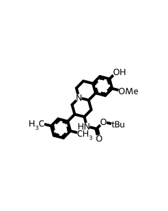 COc1cc2c(cc1O)CCN1CC(c3cc(C)ccc3C)C(NC(=O)OC(C)(C)C)CC21